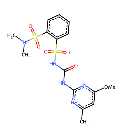 COc1cc(C)nc(NC(=O)NS(=O)(=O)c2ccccc2S(=O)(=O)N(C)C)n1